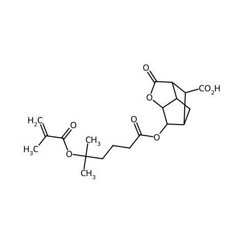 C=C(C)C(=O)OC(C)(C)CCCC(=O)OC1C2CC3C1OC(=O)C3C2C(=O)O